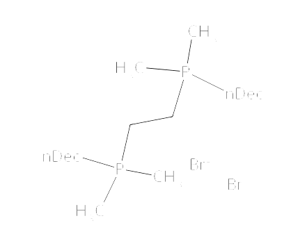 CCCCCCCCCC[P+](C)(C)CC[P+](C)(C)CCCCCCCCCC.[Br-].[Br-]